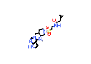 CC1CCN(S(=O)(=O)CCNC(=O)CC2CC2)CC1N(C)c1ncnc2[nH]ccc12